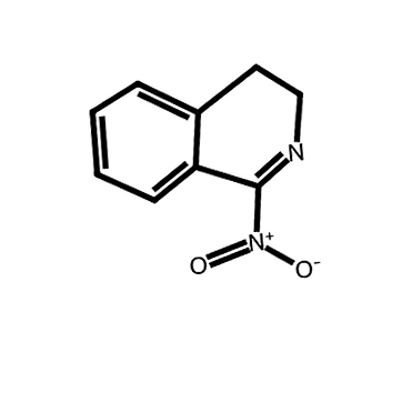 O=[N+]([O-])C1=NCCc2ccccc21